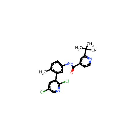 Cc1ccc(NC(=O)c2ccnc(C(C)(C)C#N)c2)cc1-c1cc(Cl)cnc1Cl